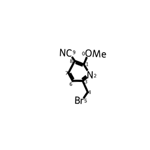 COc1nc(CBr)ccc1C#N